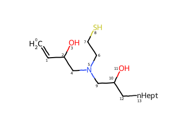 C=CC(O)CN(CCS)CC(O)CCCCCCCC